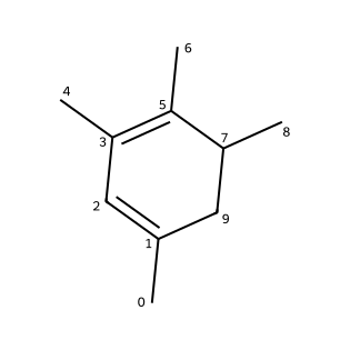 CC1=CC(C)=C(C)C(C)C1